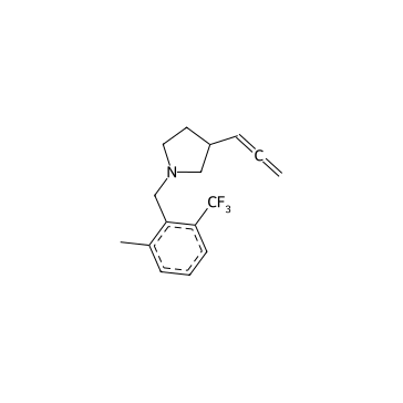 C=C=CC1CCN(Cc2c(C)cccc2C(F)(F)F)C1